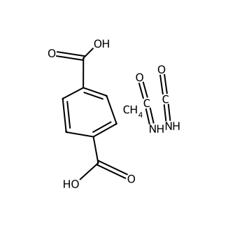 C.N=C=O.N=C=O.O=C(O)c1ccc(C(=O)O)cc1